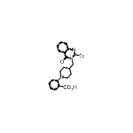 CCc1nc2ccccc2c(=O)n1CC1CCN(c2ccccc2C(=O)O)CC1